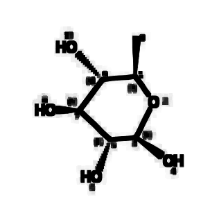 C[C@H]1O[C@@H](O)[C@H](O)[C@@H](O)[C@@H]1O